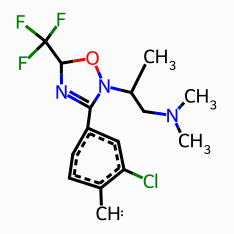 [CH]c1ccc(C2=NC(C(F)(F)F)ON2C(C)CN(C)C)cc1Cl